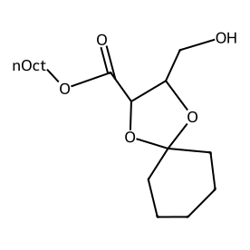 CCCCCCCCOC(=O)C1OC2(CCCCC2)OC1CO